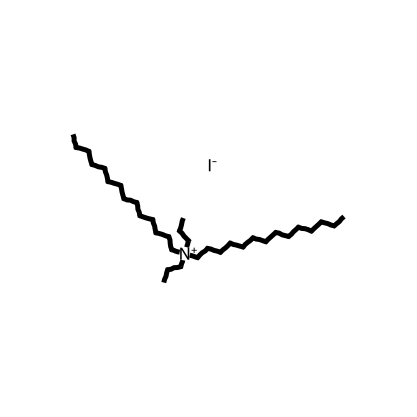 CCCCCCCCCCCCCC[N+](CCC)(CCC)CCCCCCCCCCCCCC.[I-]